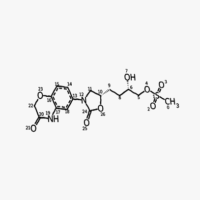 CS(=O)(=O)OC[C@@H](O)CC[C@H]1CN(c2ccc3c(c2)NC(=O)CO3)C(=O)O1